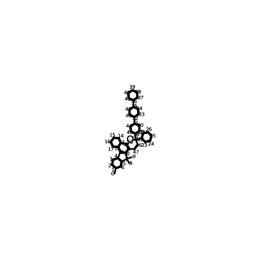 Cc1ccc2c(c1)C(C)(C)c1c3c(c4ccccc4c1-2)OC(c1ccccc1)(c1ccc(-c2ccc(-c4ccccc4)cc2)cc1)C=C3